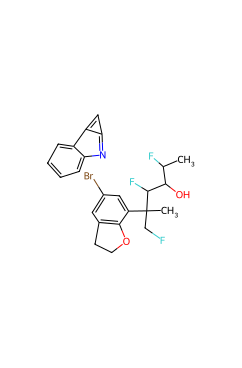 CC(F)C(O)C(F)C(C)(CF)c1cc(Br)cc2c1OCC2.c1ccc2c3cc-3nc2c1